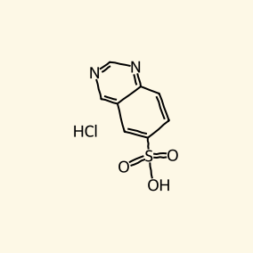 Cl.O=S(=O)(O)c1ccc2ncncc2c1